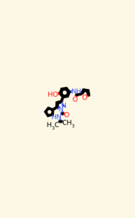 CC(C)NC(=O)n1nc(-c2cc(NC(=O)c3ccco3)ccc2O)cc1C1CCCC1